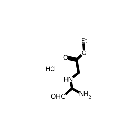 CCOC(=O)CNC(N)C=O.Cl